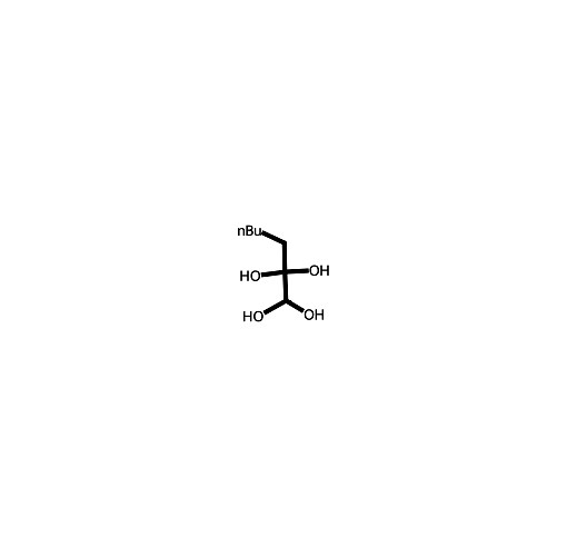 CCCCCC(O)(O)[C](O)O